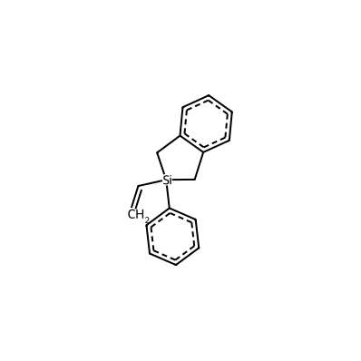 C=C[Si]1(c2ccccc2)Cc2ccccc2C1